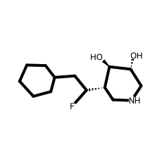 O[C@H]1[C@H](O)CNC[C@@H]1C(F)CC1CCCCC1